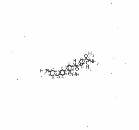 CC(C)(N)C(=O)N1CC2CC1CN2C(=O)Nc1ccn(-c2ccc(CN3CCC(N)CC3)cc2)c(=O)n1.Cl